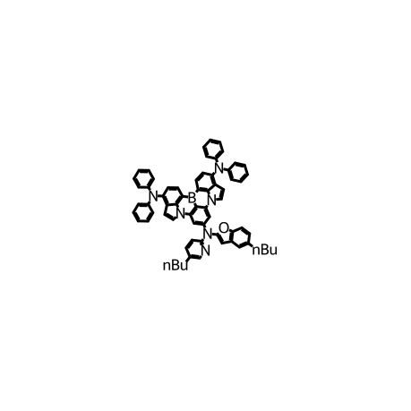 CCCCc1ccc(N(c2cc3c4c(c2)-n2ccc5c(N(c6ccccc6)c6ccccc6)ccc(c52)B4c2ccc(N(c4ccccc4)c4ccccc4)c4ccn-3c24)c2cc3cc(CCCC)ccc3o2)nc1